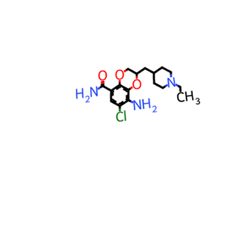 CCN1CCC(CC2COc3c(C(N)=O)cc(Cl)c(N)c3O2)CC1